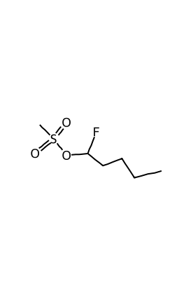 CCCCC(F)OS(C)(=O)=O